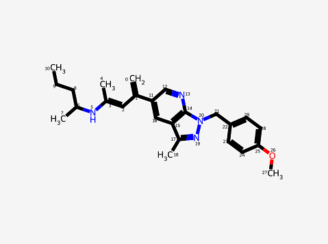 C=C(/C=C(\C)NC(C)CCC)c1cnc2c(c1)c(C)nn2Cc1ccc(OC)cc1